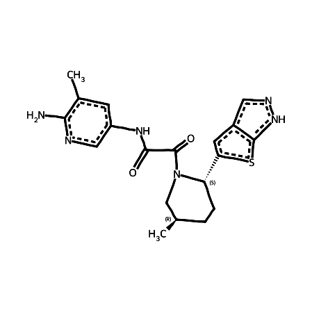 Cc1cc(NC(=O)C(=O)N2C[C@H](C)CC[C@H]2c2cc3cn[nH]c3s2)cnc1N